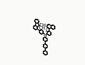 CC1(C)c2ccccc2-c2cccc(-c3ccc(N(c4ccc(-c5ccc(-c6ccccc6)cc5)cc4)c4cccc(-c5cccc6ccccc56)c4)cc3)c21